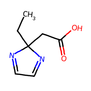 CCC1(CC(=O)O)N=CC=N1